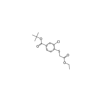 CCOC(=O)CSc1ccc(C(=O)OC(C)(C)C)cc1Cl